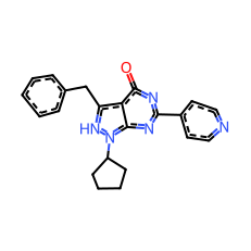 O=c1nc(-c2ccncc2)nc2n(C3CCCC3)[nH]c(Cc3ccccc3)c1-2